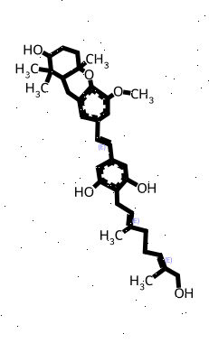 COc1cc(/C=C/c2cc(O)c(C/C=C(\C)CC/C=C(\C)CO)c(O)c2)cc2c1OC1(C)CCC(O)C(C)(C)C1C2